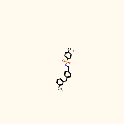 Cc1ccc(S(=O)(=O)N=Cc2ccc(Cc3cccc(C)c3)cc2)cc1